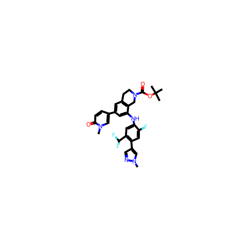 Cn1cc(-c2cc(F)c(Nc3cc(-c4ccc(=O)n(C)c4)cc4c3CN(C(=O)OC(C)(C)C)CC4)cc2C(F)F)cn1